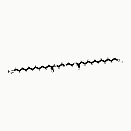 CCCCCCCCCCCCC(=O)OCCSCCOC(=O)CCCCCCCCCCCC